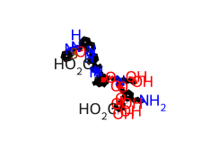 Cc1c(-c2ccc(N3CCc4cccc(C(=O)Nc5nc6ccccc6s5)c4C3)nc2C(=O)O)cnn1CC12CC3(C)CC(C)(C1)CC(OCCN(CCC(O)CO)C(=O)OCc1ccc(CCCN)cc1O[C@@H]1O[C@H](C(=O)O)[C@@H](O)[C@H](O)[C@H]1O)(C3)C2